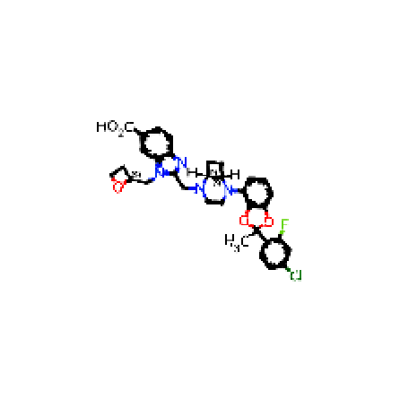 C[C@@]1(c2ccc(Cl)cc2F)Oc2cccc(N3CCN(Cc4nc5ccc(C(=O)O)cc5n4C[C@@H]4CCO4)[C@@H]4CC[C@@H]43)c2O1